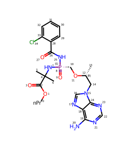 CCCOC(=O)C(C)(C)N[P@@](=O)(CO[C@H](C)Cn1cnc2c(N)ncnc21)NC(=O)c1ccccc1Cl